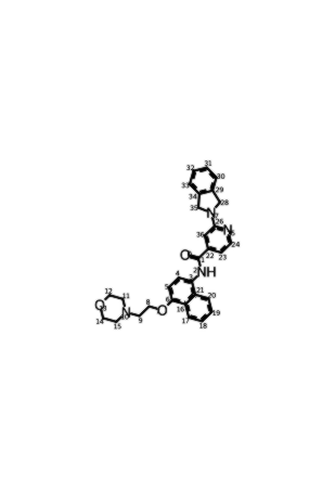 O=C(Nc1ccc(OCCN2CCOCC2)c2ccccc12)c1ccnc(N2Cc3ccccc3C2)c1